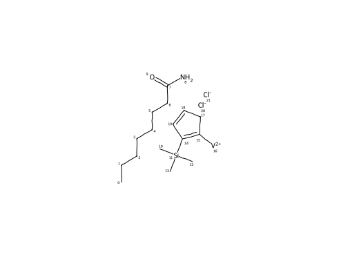 CCCCCCCC(N)=O.C[Si](C)(C)C1=[C]([V+2])CC=C1.[Cl-].[Cl-]